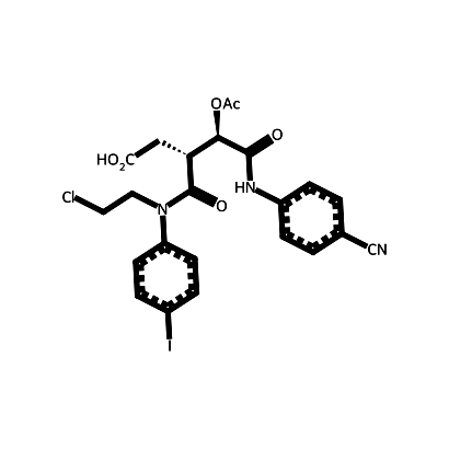 CC(=O)O[C@@H](C(=O)Nc1ccc(C#N)cc1)[C@@H](CC(=O)O)C(=O)N(CCCl)c1ccc(I)cc1